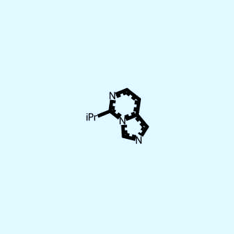 CC(C)c1nccc2cncn12